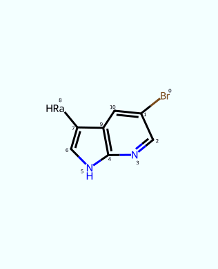 Brc1cnc2[nH]c[c]([RaH])c2c1